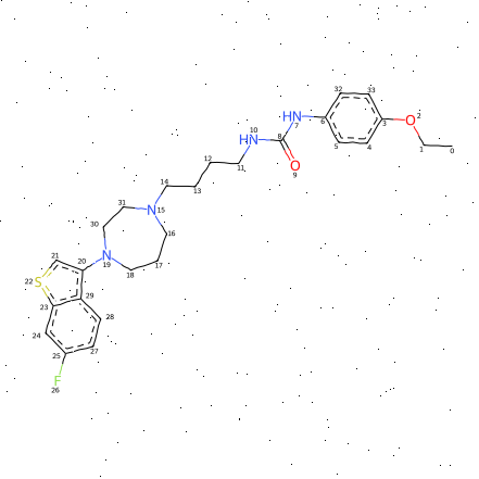 CCOc1ccc(NC(=O)NCCCCN2CCCN(c3csc4cc(F)ccc34)CC2)cc1